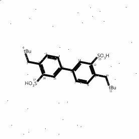 CC(C)(C)Cc1ccc(-c2ccc(CC(C)(C)C)c(S(=O)(=O)O)c2)cc1S(=O)(=O)O